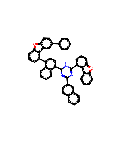 c1ccc(-c2ccc3oc4cccc(-c5ccc(C6N=C(c7ccc8ccccc8c7)N=C(c7cccc8oc9ccccc9c78)N6)c6ccccc56)c4c3c2)cc1